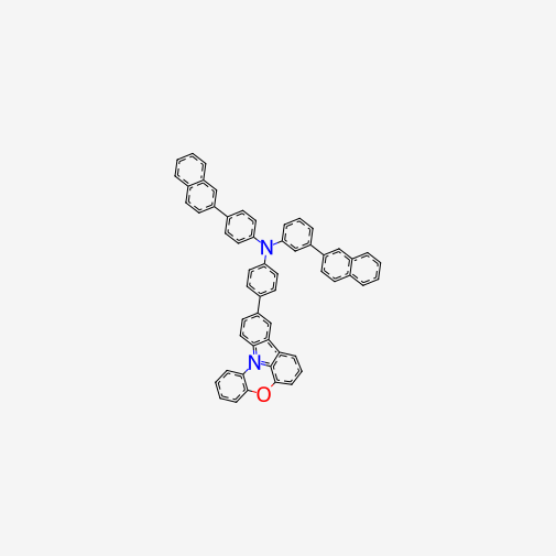 c1cc(-c2ccc3ccccc3c2)cc(N(c2ccc(-c3ccc4ccccc4c3)cc2)c2ccc(-c3ccc4c(c3)c3cccc5c3n4-c3ccccc3O5)cc2)c1